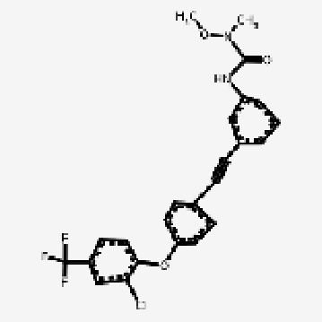 CON(C)C(=O)Nc1cccc(C#Cc2ccc(Oc3ccc(C(F)(F)F)cc3Cl)cc2)c1